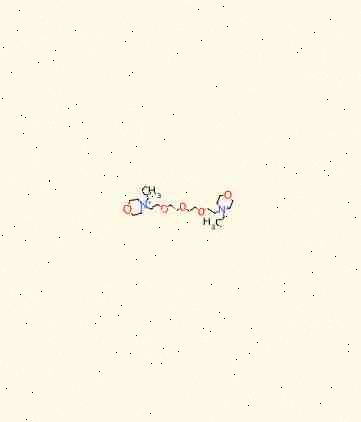 CC[N+]1(CCOCCOCCOCC[N+]2(CC)CCOCC2)CCOCC1